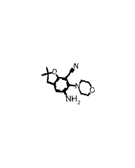 CC1(C)Cc2cc(N)c(N3CCOCC3)c(C#N)c2O1